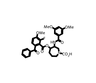 COc1cc(OC)cc(C(=O)NC2CN(C(=O)O)CCCC2OC(=O)c2c(C(=O)c3ccccc3)ccc(OC)c2F)c1